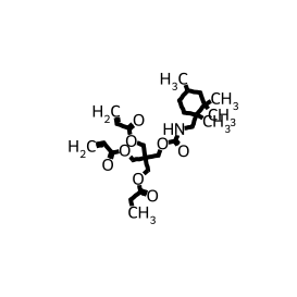 C=CC(=O)OCC(COC(=O)C=C)(COC(=O)CC)COC(=O)NCC1(C)CCC(C)CC1(C)C